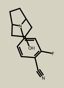 N#Cc1ccc(N2C3CCC2CC(O)C3)cc1F